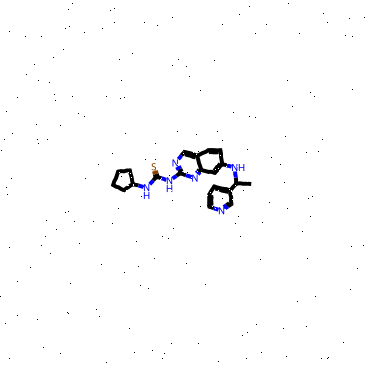 CC(Nc1ccc2cnc(NC(=S)NC3CCCC3)nc2c1)c1cccnc1